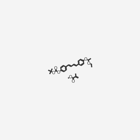 C=C(C)C(=O)OC.CCOC(C)Oc1ccc(C=CC=Cc2ccc(OC(=O)OC(C)(C)C)cc2)cc1